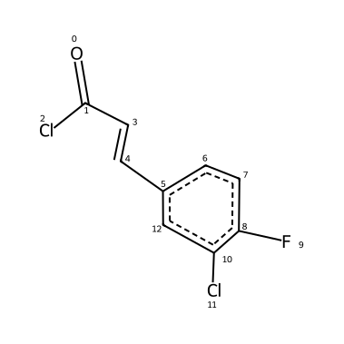 O=C(Cl)/C=C/c1ccc(F)c(Cl)c1